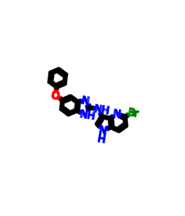 Brc1ccc2[nH]cc(Nc3nc4cc(Oc5ccccc5)ccc4[nH]3)c2n1